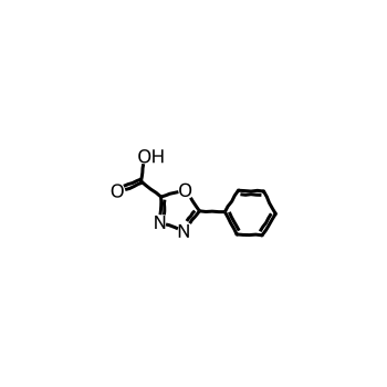 O=C(O)c1nnc(-c2ccccc2)o1